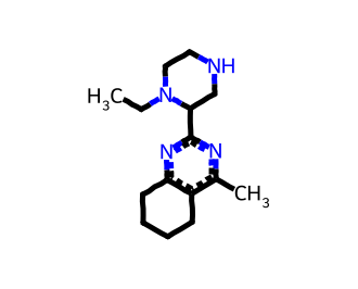 CCN1CCNCC1c1nc(C)c2c(n1)CCCC2